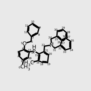 Cc1ccc(OCc2ccccc2)c(Pc2c(C)cccc2CN(Cc2ccccc2)Cc2ccccc2)c1